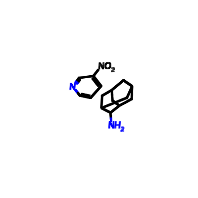 NC1C2CC3CC(C2)CC1C3.O=[N+]([O-])c1cccnc1